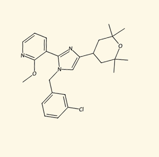 COc1ncccc1-c1nc(C2CC(C)(C)OC(C)(C)C2)cn1Cc1cccc(Cl)c1